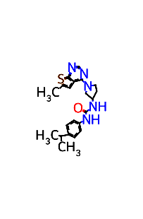 Cc1cc2c(N3CCC(NC(=O)Nc4ccc(C(C)C)cc4)C3)ncnc2s1